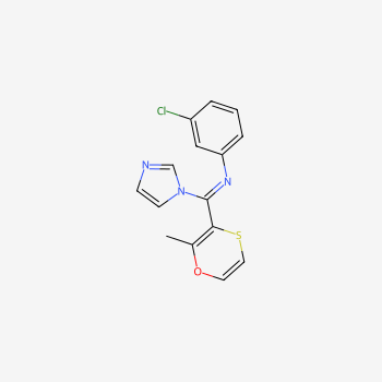 CC1=C(C(=Nc2cccc(Cl)c2)n2ccnc2)SC=CO1